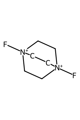 F[N+]12CC[N+](F)(CC1)CC2